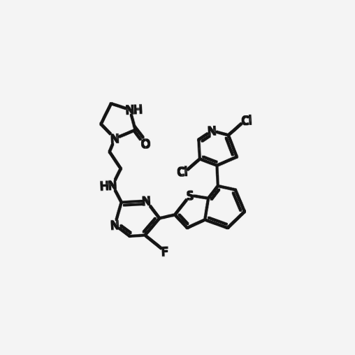 O=C1NCCN1CCNc1ncc(F)c(-c2cc3cccc(-c4cc(Cl)ncc4Cl)c3s2)n1